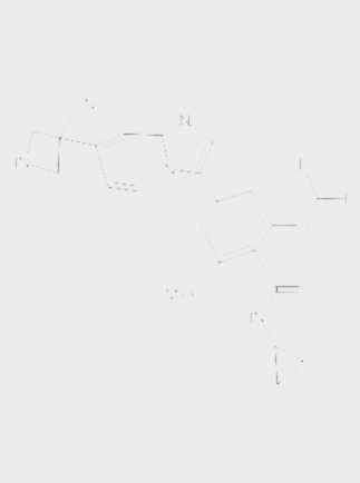 COc1cc(-c2cnc3cc(C4(C#N)CNC4)ccn23)cc(OC(F)F)c1C(=O)NC1CC1